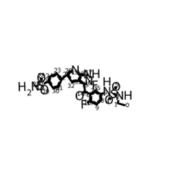 CCNS(=O)(=O)Nc1ccc(F)c(C(=O)c2n[nH]c3ncc(-c4ccc(S(N)(=O)=O)cc4)cc23)c1F